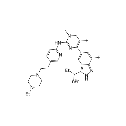 CCCC(CC)c1[nH]nc2c(F)cc(C3=C(F)CN(C)C(Nc4ccc(CCN5CCN(CC)CC5)cn4)=N3)cc12